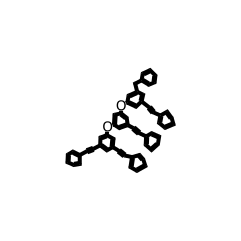 C(#Cc1cc(C#Cc2ccccc2)cc(Oc2cc(C#Cc3ccccc3)cc(Oc3cc(C#Cc4ccccc4)cc(Cc4ccccc4)c3)c2)c1)c1ccccc1